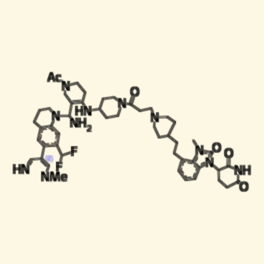 CN/C=C(\C=N)c1cc2c(cc1C(F)F)N(C(N)C1=C(NC3CCN(C(=O)CCN4CCC(CCc5cccc6c5n(C)c(=O)n6C5CCC(=O)NC5=O)CC4)CC3)CCN(C(C)=O)C1)CCC2